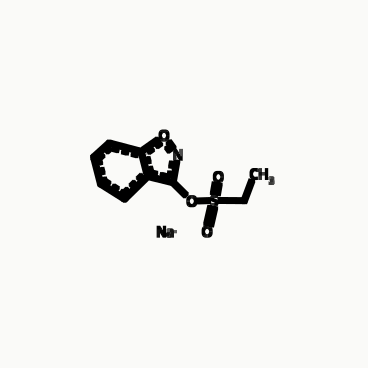 CCS(=O)(=O)Oc1noc2ccccc12.[Na]